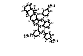 CC(C)(C)c1ccc(N2c3ccc(C(C)(C)C)cc3B3c4sc5cc6c(cc5c4N(c4ccc(C(C)(C)C)cc4)c4cccc2c43)C(C)(C)c2ccccc2O6)cc1